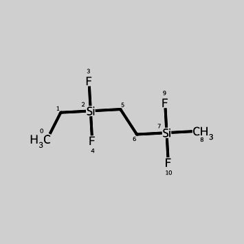 CC[Si](F)(F)CC[Si](C)(F)F